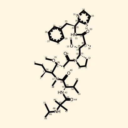 CC[C@H](C)C([C@@H](CC(=O)N1CCC[C@H]1[C@H](OC)[C@@H](C)C(=O)N[C@@H](Cc1ccccc1)c1nccs1)OC)N(C)C(=O)[C@@H](NC(=O)C(C)(C)NC(C)C)C(C)C